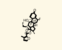 Cc1ccoc1C(=O)O[C@]1(C(=O)SCF)[C@H](C)C[C@H]2[C@@H]3C[C@H](F)C4=CC(=O)C=C[C@]4(C)[C@@]3(F)[C@@H](O)C[C@@]21C